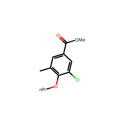 CCCOc1c(C)cc(C(=O)OC)cc1Cl